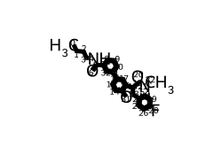 CCCCNC(=O)c1cccc(-c2ccc3c(c2)C(C(=O)NC)C(c2ccc(F)cc2)O3)c1